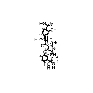 Cc1cc(C(C)NC(=O)c2c(C(F)F)nn(C)c2Oc2ccc(F)c(C(C)(C)O)c2)ccc1C(=O)O